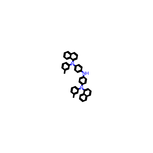 Cc1cccc(N(c2ccc(Nc3ccc(N(c4cccc(C)c4)c4cccc5ccccc45)cc3)cc2)c2cccc3ccccc23)c1